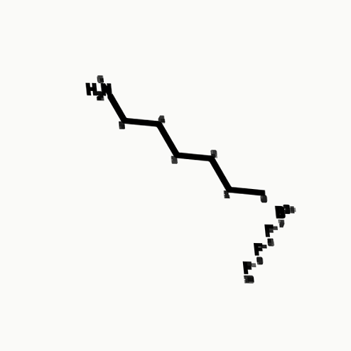 CCCCCCN.[B+3].[F-].[F-].[F-]